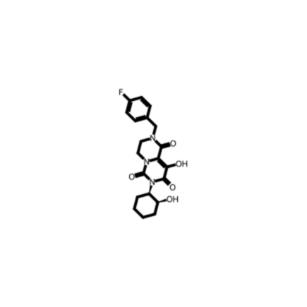 O=C1c2c(O)c(=O)n([C@@H]3CCCC[C@@H]3O)c(=O)n2CCN1Cc1ccc(F)cc1